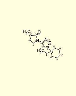 CCC1(c2cc(N3CCC(C)C3=O)no2)CCCCC1